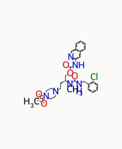 CN(C(=O)NCc1ccccc1Cl)[C@@H](CCN1CCN(S(C)(=O)=O)CC1)COC(=O)Nc1cc2ccccc2cn1